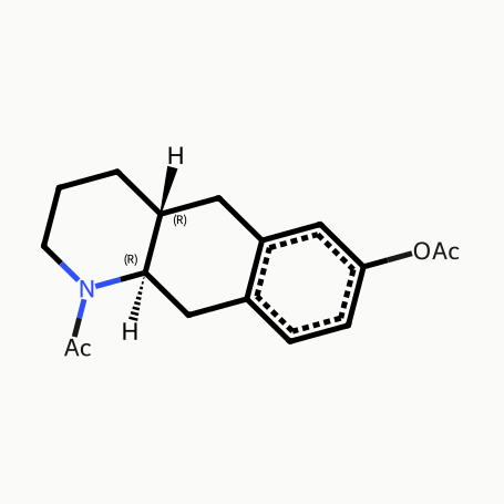 CC(=O)Oc1ccc2c(c1)C[C@H]1CCCN(C(C)=O)[C@@H]1C2